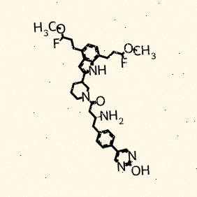 COC(F)CCc1ccc(CCC(F)OC)c2[nH]c(C3CCCN(C(=O)C[C@H](N)Cc4ccc(-c5cnc(O)nc5)cc4)C3)cc12